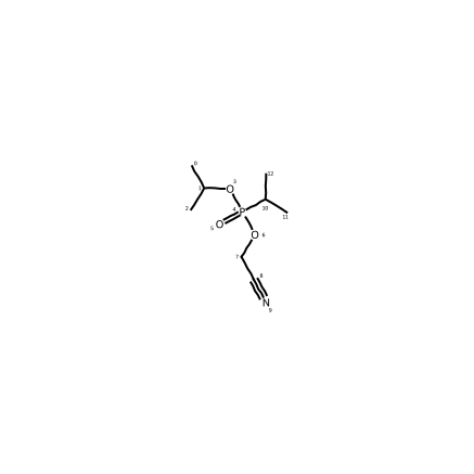 CC(C)OP(=O)(OCC#N)C(C)C